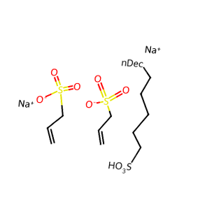 C=CCS(=O)(=O)[O-].C=CCS(=O)(=O)[O-].CCCCCCCCCCCCCCCS(=O)(=O)O.[Na+].[Na+]